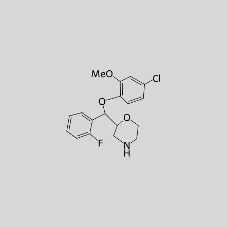 COc1cc(Cl)ccc1OC(c1ccccc1F)C1CNCCO1